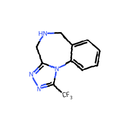 FC(F)(F)c1nnc2n1-c1ccccc1CNC2